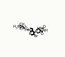 C[Si](C)(C)CCOCn1ccc2c(N3CCC4(CC3)NC(=O)NC4=O)c(Br)cnc21